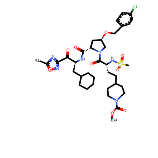 CCc1nc(C(=O)[C@H](CC2CCCCC2)NC(=O)[C@@H]2C[C@@H](OCc3ccc(Cl)cc3)CN2C(=O)[C@@H](CCC2CCN(C(=O)OC(C)(C)C)CC2)NS(C)(=O)=O)no1